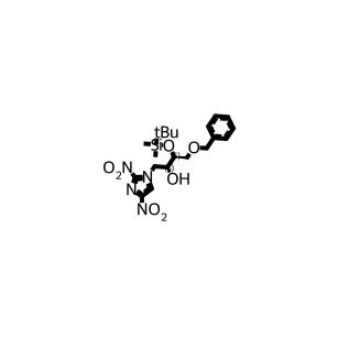 CC(C)(C)[Si](C)(C)O[C@@H](COCc1ccccc1)[C@@H](O)Cn1cc([N+](=O)[O-])nc1[N+](=O)[O-]